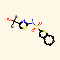 CCC(O)(CC)c1csc(NS(=O)(=O)c2cc3ccccc3s2)n1